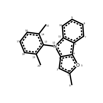 Cc1cc2c(o1)c1ccccc1n2-c1c(C)cccc1C